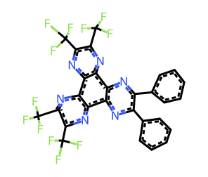 FC(F)(F)c1nc2c3nc(-c4ccccc4)c(-c4ccccc4)nc3c3nc(C(F)(F)F)c(C(F)(F)F)nc3c2nc1C(F)(F)F